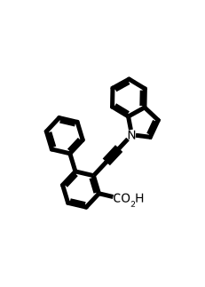 O=C(O)c1cccc(-c2ccccc2)c1C#Cn1ccc2ccccc21